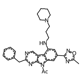 CC(=O)n1c2cc(-c3noc(C)n3)cc(NCCCN3CCCCC3)c2c2cnc(Cc3ccccc3)nc21